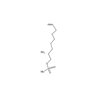 CCCCCCCCCCCCCCCCOS(=O)(=O)C(C)(C)C.N